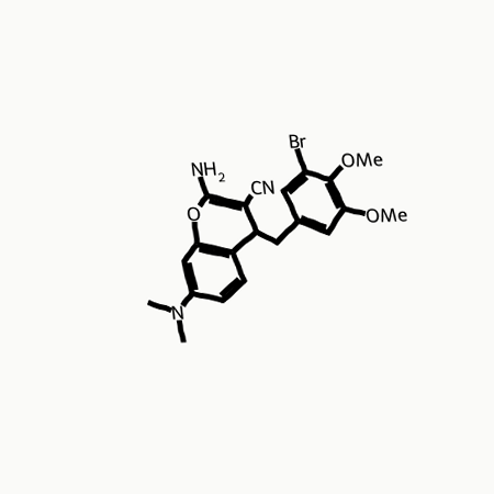 COc1cc(CC2C(C#N)=C(N)Oc3cc(N(C)C)ccc32)cc(Br)c1OC